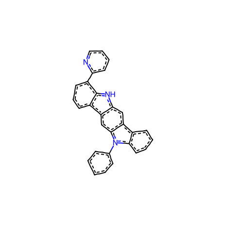 c1ccc(-n2c3ccccc3c3cc4[nH]c5c(-c6ccccn6)cccc5c4cc32)cc1